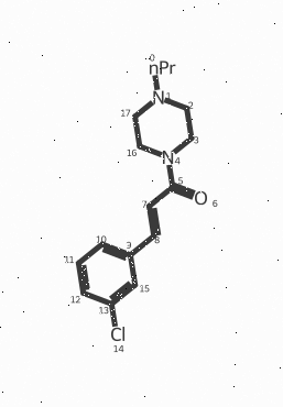 CCCN1CCN(C(=O)C=Cc2cccc(Cl)c2)CC1